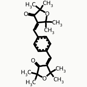 CC1(C)OC(C)(C)C(=Cc2ccc(C=C3C(=O)C(C)(C)OC3(C)C)cc2)C1=O